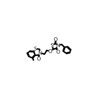 Cc1cccc2c1C(=O)N(CCOC1SC(=O)N(Cc3ccccc3)C1=O)CS2